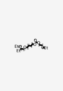 CCOCCOC(=O)OCCCCOCC(CC)OCC